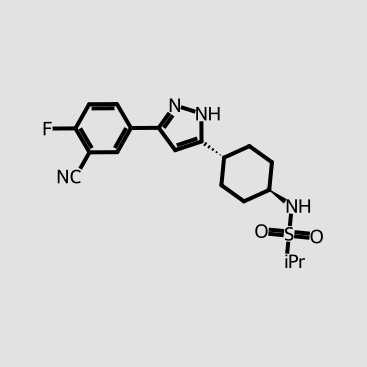 CC(C)S(=O)(=O)N[C@H]1CC[C@H](c2cc(-c3ccc(F)c(C#N)c3)n[nH]2)CC1